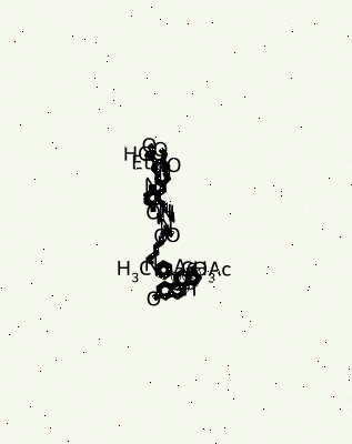 CC[C@@]1(O)C(=O)OCc2c1cc1n(c2=O)Cc2cc3c(CN4CCN(C(=O)OCCCCN(C)c5ccc([C@H]6C[C@@]7(C)[C@@H](CC[C@]7(OC(C)=O)C(C)=O)[C@@H]7CCC8=CC(=O)CCC8=C76)cc5)CC4)c(O)ccc3nc2-1